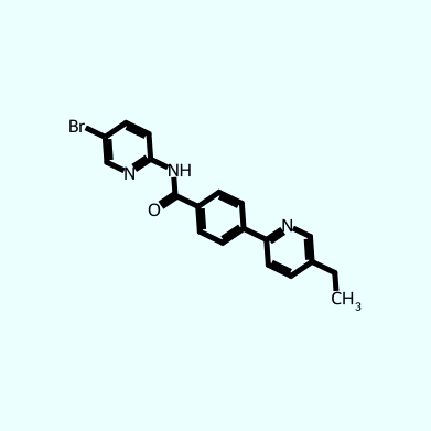 CCc1ccc(-c2ccc(C(=O)Nc3ccc(Br)cn3)cc2)nc1